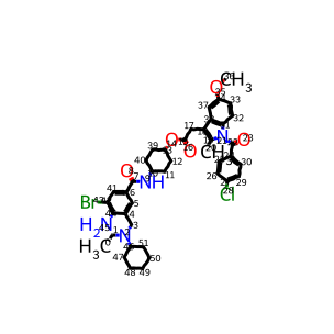 CCN(Cc1cc(C(=O)NC2CCC(OC(=O)Cc3c(C)n(C(=O)c4ccc(Cl)cc4)c4ccc(OC)cc34)CC2)cc(Br)c1N)C1CCCCC1